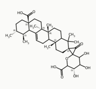 C[C@@H]1CC[C@]2(C(=O)O)CC[C@]3(C)C(=CCC4[C@@]5(C)CC[C@]6(C(=O)C67OC(C(=O)O)[C@@H](O)C(O)C7O)C(C)(C)C5CC[C@]43C)C2[C@H]1C